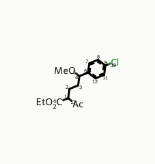 CCOC(=O)C(CCC(OC)c1ccc(Cl)cc1)C(C)=O